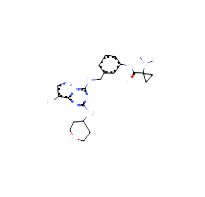 CCN(C)C1(C(=O)Nc2cccc(CNc3nc(NC4CCOCC4)nc4c(C(C)C)cnn34)c2)CC1